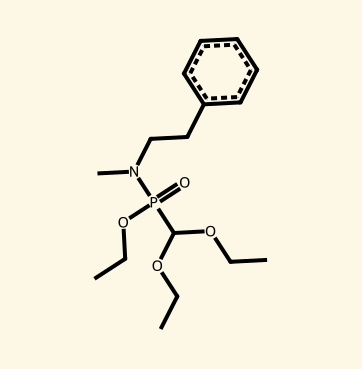 CCOC(OCC)P(=O)(OCC)N(C)CCc1ccccc1